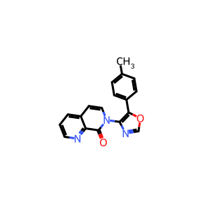 Cc1ccc(-c2ocnc2-n2ccc3cccnc3c2=O)cc1